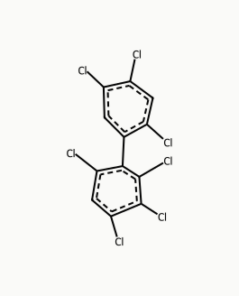 Clc1cc(Cl)c(-c2c(Cl)cc(Cl)c(Cl)c2Cl)cc1Cl